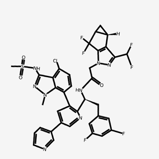 Cn1nc(NS(C)(=O)=O)c2c(Cl)ccc(-c3cc(-c4cccnc4)cnc3[C@H](Cc3cc(F)cc(F)c3)NC(=O)Cn3nc(C(F)F)c4c3C(F)(F)C3C[C@H]43)c21